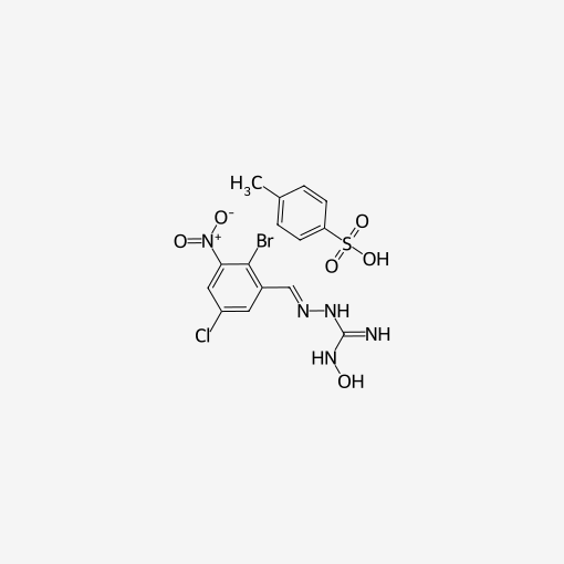 Cc1ccc(S(=O)(=O)O)cc1.N=C(NO)N/N=C/c1cc(Cl)cc([N+](=O)[O-])c1Br